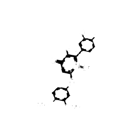 CCn1c(Oc2ccc(OC)c(OC)c2)cc(=O)c(C(=O)O)c1-c1ccc(Cl)c(Cl)c1